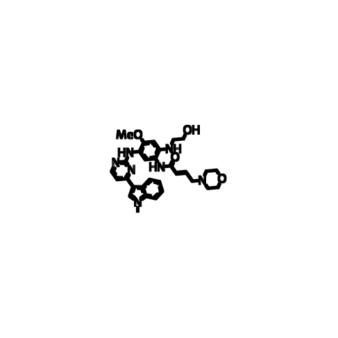 COc1cc(NCCO)c(NC(=O)/C=C/CN2CCOCC2)cc1Nc1nccc(-c2cn(C)c3ccccc23)n1